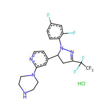 Cl.Fc1ccc(N2N=C(C(F)(F)C(F)(F)F)CC2c2ccnc(N3CCNCC3)c2)c(F)c1